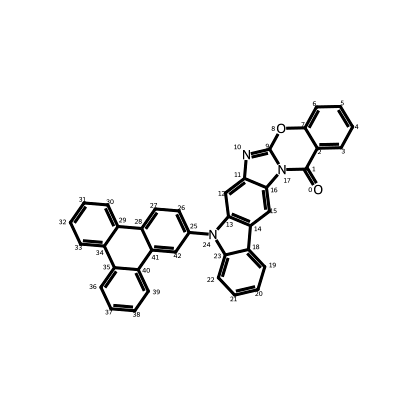 O=c1c2ccccc2oc2nc3cc4c(cc3n12)c1ccccc1n4-c1ccc2c3ccccc3c3ccccc3c2c1